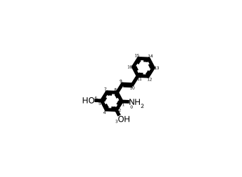 Nc1c(O)cc(O)cc1C=Cc1ccccc1